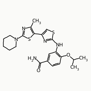 Cc1nc(N2CCCCC2)sc1-c1csc(Nc2cc(C(N)=O)ccc2OC(C)C)n1